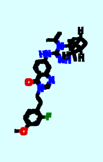 COc1ccc(CCn2cnc3cc(NC(=N)N(C(C)C)C4C[C@@H]5C[C@H]([C@@H]4C)C5(C)C)ccc3c2=O)c(F)c1